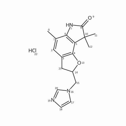 Cc1cc2c(c3c1NC(=O)C3(C)C)OC(Cn1ccnc1)C2.Cl